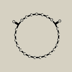 O=C1CCCCCCCCCCCCCCCCC(=O)OCCOCCO1